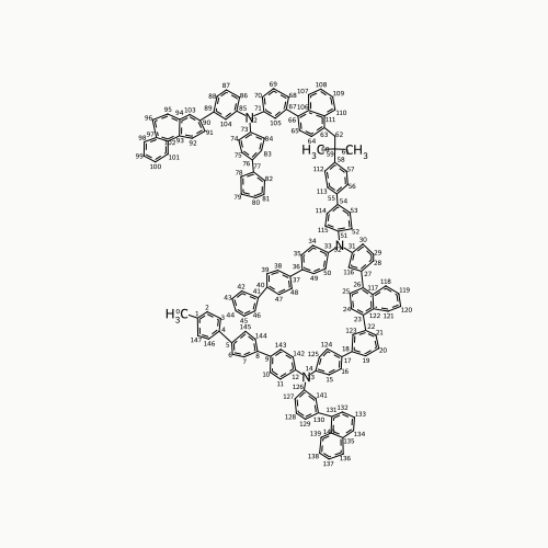 Cc1ccc(-c2ccc(-c3ccc(N(c4ccc(-c5cccc(-c6ccc(-c7cccc(N(c8ccc(-c9ccc(-c%10ccccc%10)cc9)cc8)c8ccc(-c9ccc(C(C)(C)Cc%10ccc(-c%11cccc(N(c%12ccc(-c%13ccccc%13)cc%12)c%12cccc(-c%13ccc%14c(ccc%15ccccc%15%14)c%13)c%12)c%11)c%11ccccc%10%11)cc9)cc8)c7)c7ccccc67)c5)cc4)c4cccc(-c5cccc6ccccc56)c4)cc3)cc2)cc1